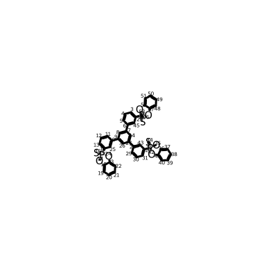 S=P1(c2cccc(-c3cc(-c4cccc(P5(=S)Oc6ccccc6O5)c4)cc(-c4cccc(P5(=S)Oc6ccccc6O5)c4)c3)c2)Oc2ccccc2O1